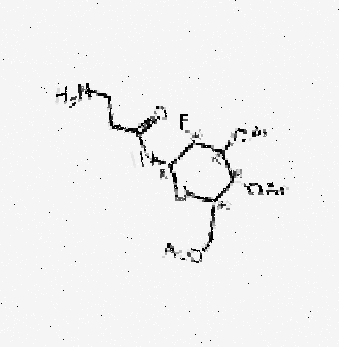 CC(=O)OC[C@H]1O[C@@H](NC(=O)CCN)[C@H](F)[C@@H](OC(C)=O)[C@@H]1OC(C)=O